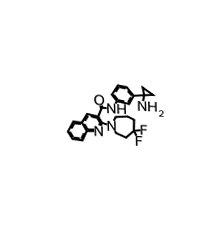 NC1(c2cccc(NC(=O)c3cc4ccccc4nc3N3CCCC(F)(F)CC3)c2)CC1